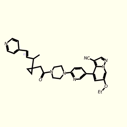 CCOc1cc(-c2ccc(N3CCN(C(=O)CC4(C(C)/C=C/c5ccncc5)CC4)CC3)nc2)c2c(C#N)cnn2c1